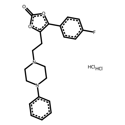 Cl.Cl.O=c1oc(CCN2CCN(c3ccccc3)CC2)c(-c2ccc(F)cc2)o1